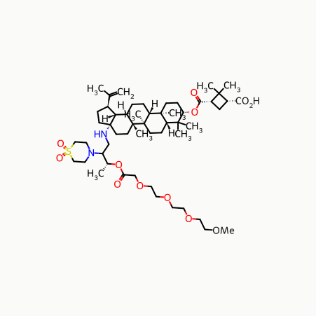 C=C(C)[C@@H]1CC[C@]2(NCC([C@@H](C)OC(=O)COCCOCCOCCOC)N3CCS(=O)(=O)CC3)CC[C@]3(C)[C@H](CC[C@@H]4[C@@]5(C)CC[C@H](OC(=O)[C@H]6C[C@@H](C(=O)O)C6(C)C)C(C)(C)[C@@H]5CC[C@]43C)[C@@H]12